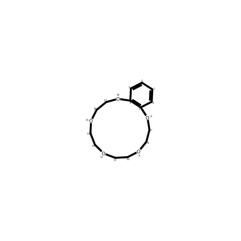 [c]1cccc2c1OCCOCCOCCOCCO2